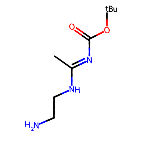 C/C(=N\C(=O)OC(C)(C)C)NCCN